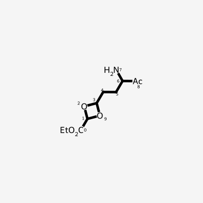 CCOC(=O)C1OC(CCC(N)C(C)=O)O1